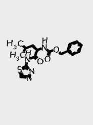 CC(C)CC(NC(=O)OCc1ccccc1)C(=O)Nc1nncs1